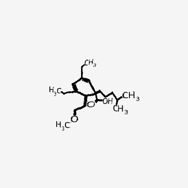 CCC1=CC(CCCC(C)C)(C(=O)O)C(CCOC)C(CC)=C1